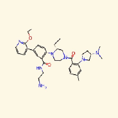 CCOc1ncccc1-c1ccc(N2CCN(C(=O)c3ccc(C)cc3N3CC[C@H](N(C)C)C3)C[C@H]2CC)c(C(=O)NCCN)c1